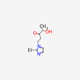 CCc1nccn1CCC(=O)C(C)O